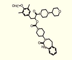 Cc1cc(CC(OC(=O)N2CCC(N3CCc4ccccc4NC3=O)CC2)C(=O)N2CCN(C3CCOCC3)CC2)cc(C)c1OC=O